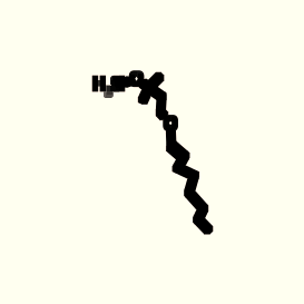 CCCCCCC=COCCC(C)(C)O[SiH3]